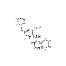 Cl.c1ccc(Cc2ccc(Nc3ncnc4ccccc34)cc2)cc1